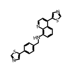 c1cc(NCc2ccc(-c3cncs3)cc2)c2nccc(-c3cncs3)c2c1